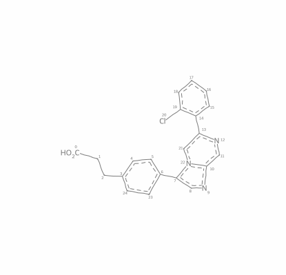 O=C(O)CCc1ccc(-c2cnc3cnc(-c4ccccc4Cl)cn23)cc1